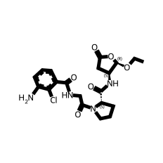 CCO[C@@H]1OC(=O)C[C@@H]1NC(=O)[C@@H]1CCCN1C(=O)CNC(=O)c1cccc(N)c1Cl